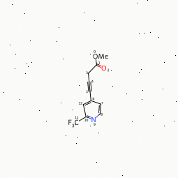 COC(=O)CC#Cc1ccnc(C(F)(F)F)c1